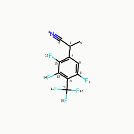 CC(C#N)c1cc(F)c(C(F)(F)F)c(F)c1F